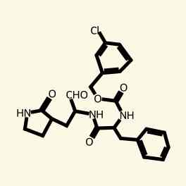 O=CC(CC1CCNC1=O)NC(=O)C(Cc1ccccc1)NC(=O)OCc1cccc(Cl)c1